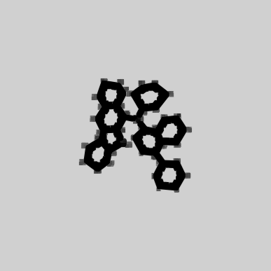 c1ccc(-c2ccc(N(c3ccccc3)c3c4ccccc4cc4c3oc3ccccc34)c3ccccc23)cc1